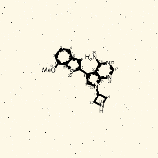 COc1cccc2cc(-c3cn(C4CNC4)c4ncnc(N)c34)sc12